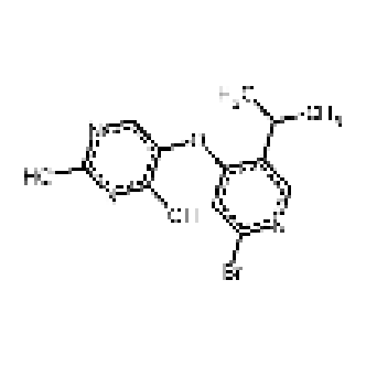 CC(C)c1cnc(Br)cc1Oc1cnc(O)nc1O